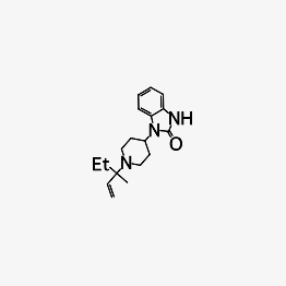 C=CC(C)(CC)N1CCC(n2c(=O)[nH]c3ccccc32)CC1